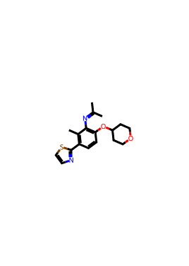 CC(C)=Nc1c(OC2CCOCC2)ccc(-c2nccs2)c1C